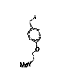 CNCCOc1ccc(CI)cc1